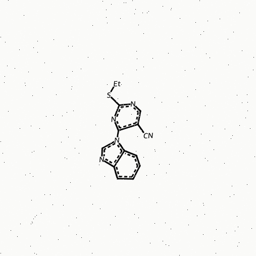 CCSc1ncc(C#N)c(-n2cnc3ccccc32)n1